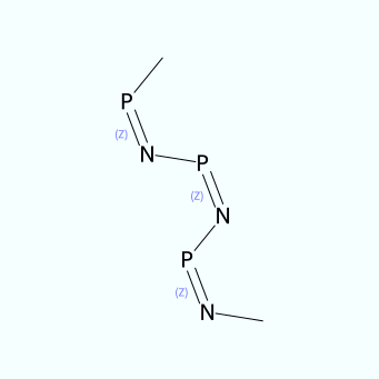 C\N=P/N=P\N=P/C